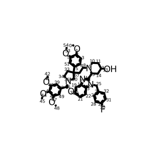 COc1ccc(C2(CCN3CCC(O)CC3c3nc4ccccc4n3Cc3ccc(F)cc3)CCN(C(=O)c3cc(OC)c(OC)c(OC)c3)C2)cc1OC